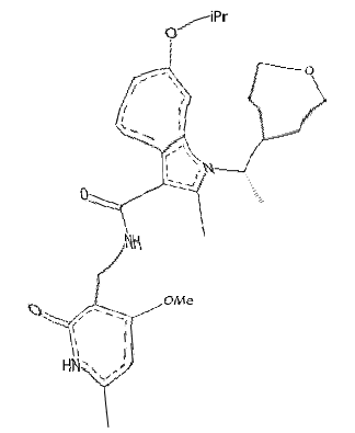 COc1cc(C)[nH]c(=O)c1CNC(=O)c1c(C)n([C@@H](C)C2CCOCC2)c2cc(OC(C)C)ccc12